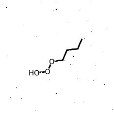 [CH2]CC[CH]OOO